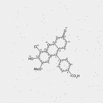 COc1cc2c(-c3ccc(C(=O)O)cc3)c3ccc(=O)cc-3oc2c(Cl)c1O